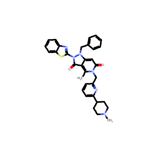 Cc1c2c(=O)n(-c3nc4ccccc4s3)n(Cc3ccccc3)c2cc(=O)n1Cc1cccc(C2CCN(C)CC2)n1